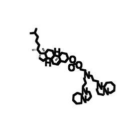 CC(C)CCC[C@@H](C)[C@H]1CC[C@H]2C3CC=C4C[C@@H](OC(=O)OCCN(CCCN5CCCN6CCCCCC65)CCCN5CCCN6CCCCCC65)CC[C@]4(C)[C@H]3CC[C@]12C